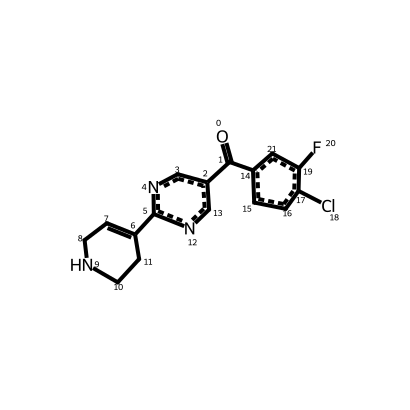 O=C(c1cnc(C2=CCNCC2)nc1)c1ccc(Cl)c(F)c1